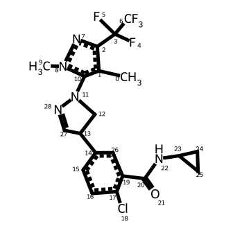 Cc1c(C(F)(F)C(F)(F)F)nn(C)c1N1CC(c2ccc(Cl)c(C(=O)NC3CC3)c2)C=N1